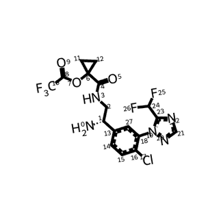 N[C@H](CNC(=O)C1(OC(=O)C(F)(F)F)CC1)c1ccc(Cl)c(-n2ncnc2C(F)F)c1